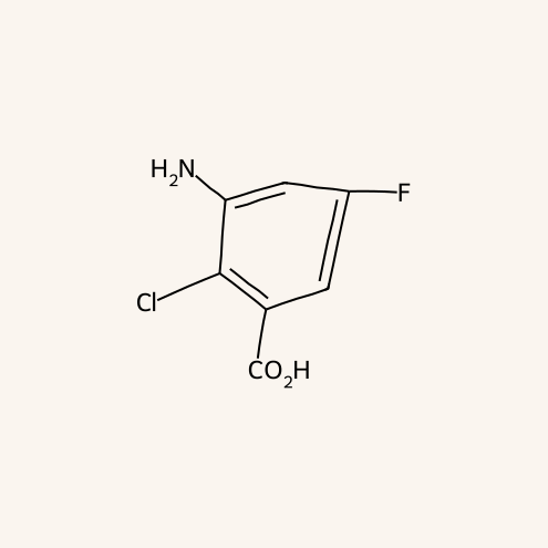 Nc1cc(F)cc(C(=O)O)c1Cl